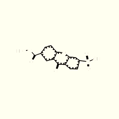 COC(=O)c1ccc2oc3cc(S(C)(=O)=O)ccc3c(=O)c2c1